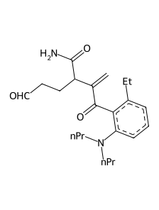 C=C(C(=O)c1c(CC)cccc1N(CCC)CCC)C(CCC=O)C(N)=O